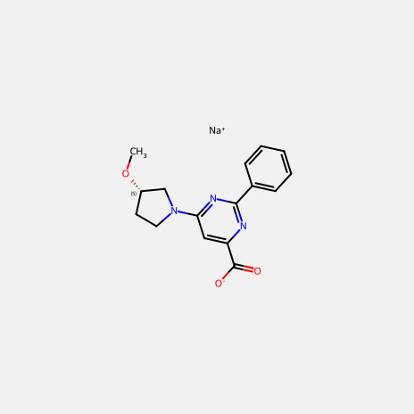 CO[C@H]1CCN(c2cc(C(=O)[O-])nc(-c3ccccc3)n2)C1.[Na+]